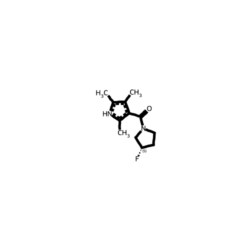 Cc1[nH]c(C)c(C(=O)N2CC[C@H](F)C2)c1C